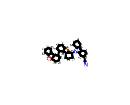 N#Cc1ccc2c3ccccc3n(-c3cccc4c3sc3cccc(-c5cccc6oc7ccccc7c56)c34)c2c1